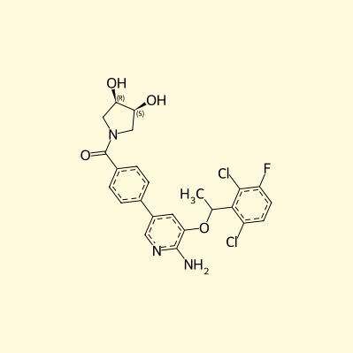 CC(Oc1cc(-c2ccc(C(=O)N3C[C@@H](O)[C@@H](O)C3)cc2)cnc1N)c1c(Cl)ccc(F)c1Cl